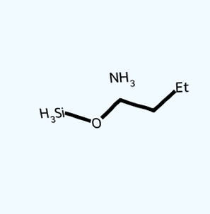 CCCCO[SiH3].N